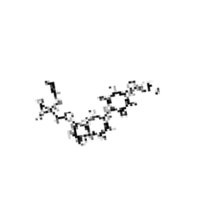 C#CCC1(COc2noc3ccc(-c4ccc(OC(F)(F)F)cc4)cc23)CC1